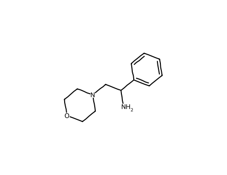 NC(CN1CCOCC1)c1ccccc1